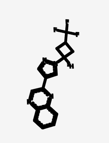 [2H]C1(n2cc(-c3cnc4ccccc4n3)cn2)CC(C(F)(F)F)C1